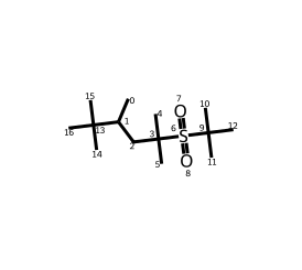 CC(CC(C)(C)S(=O)(=O)C(C)(C)C)C(C)(C)C